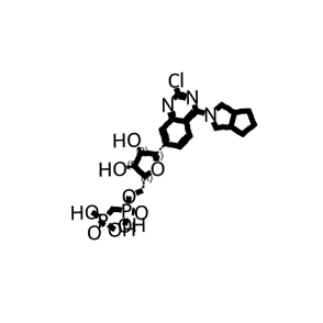 O=P(O)(O)CP(=O)(O)OC[C@H]1O[C@@H](c2ccc3c(N4CC5CCCC5C4)nc(Cl)nc3c2)[C@H](O)[C@@H]1O